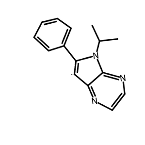 CC(C)n1c(-c2ccccc2)[c]c2nccnc21